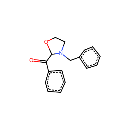 O=C(c1ccccc1)C1OCCN1Cc1ccccc1